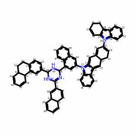 C1=CC2C=CC(C3=NC(c4cc(-n5c6c(c7ccccc75)=CC5CC=C(n7c8c(c9ccccc97)CCC=C8)C=C5C=6)cc5ccccc45)NC(c4ccc5c(c4)C4C=CC=CC4CC5)N3)=CC2C=C1